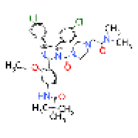 CCOc1cc(NC(=O)C(C)(C)C)ccc1C1=N[C@@H](c2ccc(Cl)cc2)[C@@H](c2ccc(Cl)cc2)N1C(=O)N1CCN(CC(=O)N(C)C)CC1